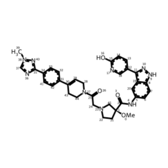 CO[C@@]1(C(=O)Nc2ccc3[nH]nc(-c4ccc(O)nc4)c3c2)CCN(CC(=O)N2CC=C(c3ccc(-c4ncn(C)n4)cc3)CC2)C1